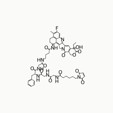 CC[C@@]1(O)C(=O)OCc2c1cc1n(c2=O)Cc2c-1nc1cc(F)c(C)c3c1c2[C@@H](NC(=O)CCCNC(=O)CNC(=O)C(Cc1ccccc1)NC(=O)CNC(=O)CNC(=O)CCCCCN1C(=O)C=CC1=O)CC3